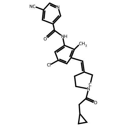 Cc1c(C=C2CCN(C(=O)CC3CC3)CC2)cc(Cl)cc1NC(=O)c1cncc(C#N)c1